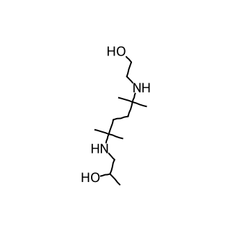 CC(O)CNC(C)(C)CCC(C)(C)NCCO